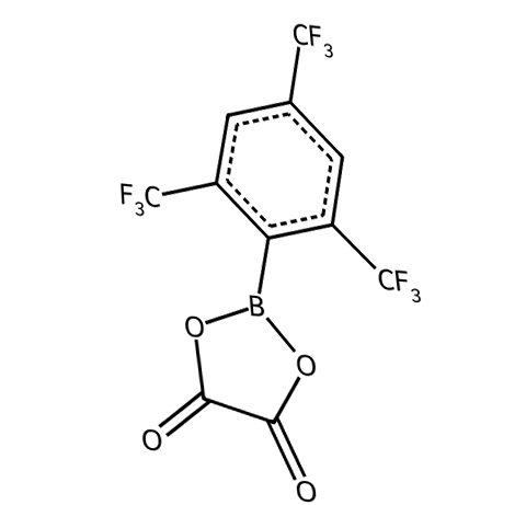 O=C1OB(c2c(C(F)(F)F)cc(C(F)(F)F)cc2C(F)(F)F)OC1=O